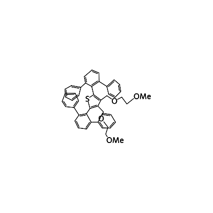 COCCOCc1c(-c2c(-c3ccccc3)cccc2-c2ccccc2)sc(-c2c(-c3ccccc3)cccc2-c2ccccc2)c1COCCOC